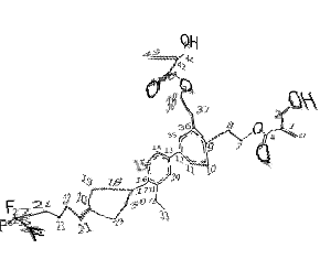 C=C(CO)C(=O)OCCc1ccc(-c2ccc(C3CCC(CCCCC(F)(F)F)CC3)c(CC)c2)cc1CCOC(=O)C(=C)CO